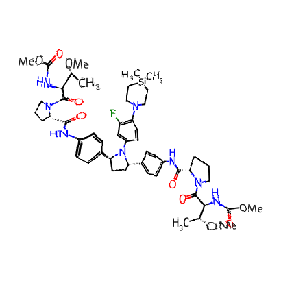 COC(=O)N[C@H](C(=O)N1CCC[C@H]1C(=O)Nc1ccc([C@@H]2CC[C@@H](c3ccc(NC(=O)[C@@H]4CCCN4C(=O)[C@@H](NC(=O)OC)[C@@H](C)OC)cc3)N2c2ccc(N3CC[Si](C)(C)CC3)c(F)c2)cc1)[C@@H](C)OC